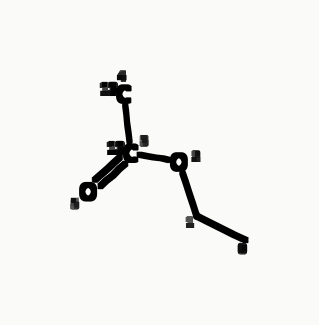 CCO[13C]([13CH3])=O